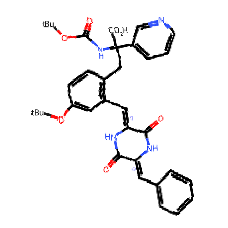 CC(C)(C)OC(=O)NC(Cc1ccc(OC(C)(C)C)cc1/C=c1\[nH]c(=O)/c(=C/c2ccccc2)[nH]c1=O)(C(=O)O)c1cccnc1